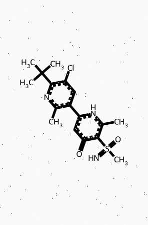 Cc1nc(C(C)(C)C)c(Cl)cc1-c1cc(=O)c(S(C)(=N)=O)c(C)[nH]1